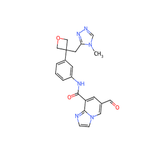 Cn1cnnc1CC1(c2cccc(NC(=O)c3cc(C=O)cn4ccnc34)c2)COC1